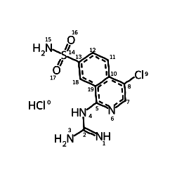 Cl.N=C(N)Nc1ncc(Cl)c2ccc(S(N)(=O)=O)cc12